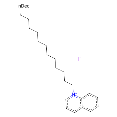 CCCCCCCCCCCCCCCCCCCCCC[n+]1cccc2ccccc21.[I-]